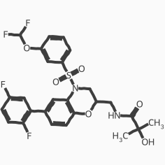 CC(C)(O)C(=O)NCC1CN(S(=O)(=O)c2cccc(OC(F)F)c2)c2cc(-c3cc(F)ccc3F)ccc2O1